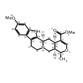 COC(=O)C1=CO[C@@H](C)[C@H]2CN3CCc4c([nH]c5cc(OC)ccc45)[C@H]3C[C@@H]12